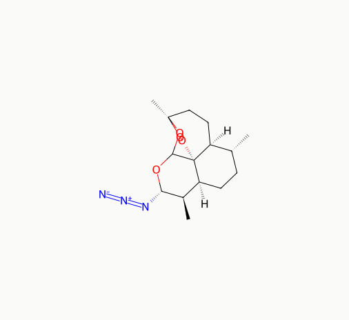 C[C@H]1[C@H](N=[N+]=[N-])OC2O[C@]3(C)CC[C@H]4[C@H](C)CC[C@@H]1[C@@]24OO3